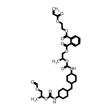 C=CC(=O)OCCOC(=O)c1ccccc1C(=O)OCC(C)OC(=O)NC1CCC(CC2CCC(NC(=O)OC(C)COC=O)CC2)CC1